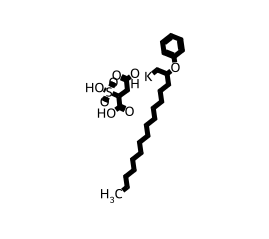 CCCCCCCCCCCCCCC([CH2][K])Oc1ccccc1.O=C(O)CC(C(=O)O)S(=O)(=O)O